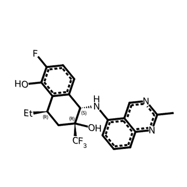 CC[C@@H]1C[C@](O)(C(F)(F)F)[C@@H](Nc2cccc3nc(C)ncc23)c2ccc(F)c(O)c21